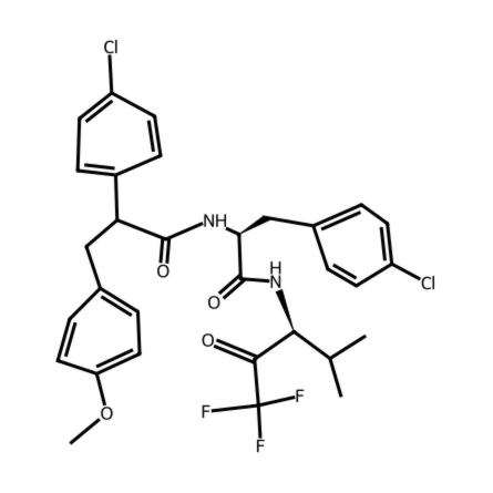 COc1ccc(CC(C(=O)N[C@@H](Cc2ccc(Cl)cc2)C(=O)N[C@H](C(=O)C(F)(F)F)C(C)C)c2ccc(Cl)cc2)cc1